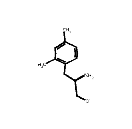 Cc1ccc(CC(N)CCl)c(C)c1